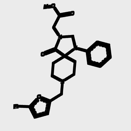 CCc1ccc(CN2CCC3(CC2)C(=O)N(CC(=O)OC)CN3c2ccccc2)o1